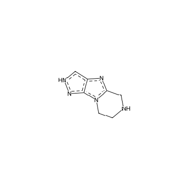 c1[nH]nc2c1nc1n2CCNC1